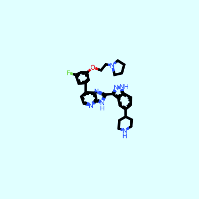 Fc1cc(OCCN2CCCC2)cc(-c2ccnc3[nH]c(-c4n[nH]c5ccc(C6CCNCC6)cc45)nc23)c1